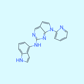 c1ccc(-n2ccc3cnc(Nc4cccc5[nH]ccc45)nc32)nc1